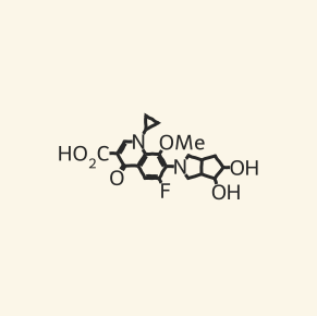 COc1c(N2CC3CC(O)C(O)C3C2)c(F)cc2c(=O)c(C(=O)O)cn(C3CC3)c12